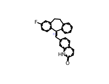 O=c1ccc2ccc(/C=C3\c4ccccc4CCc4cc(F)ccc43)cc2[nH]1